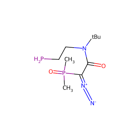 CC(C)(C)N(CCP)C(=O)C(=[N+]=[N-])P(C)(C)=O